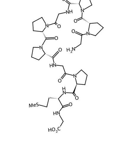 CSCC[C@H](NC(=O)[C@@H]1CCCN1C(=O)CNC(=O)[C@@H]1CCCN1C(=O)[C@@H]1CCCN1C(=O)CNC(=O)[C@@H]1CCCN1C(=O)[C@@H]1CCCN1C(=O)CN)C(=O)NCC(=O)O